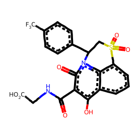 O=C(O)CNC(=O)c1c(O)c2cccc3c2n(c1=O)C(c1ccc(C(F)(F)F)cc1)CS3(=O)=O